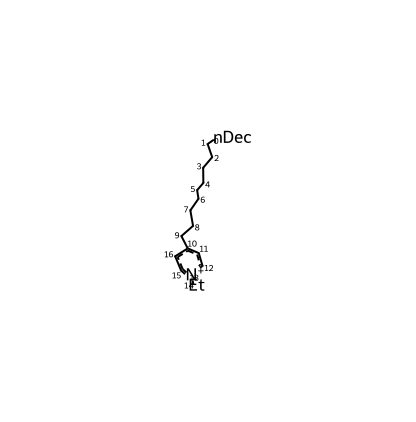 CCCCCCCCCCCCCCCCCCCc1cc[n+](CC)cc1